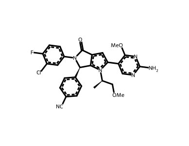 COC[C@@H](C)n1c(-c2cnc(N)nc2OC)cc2c1[C@@H](c1ccc(C#N)cc1)N(c1ccc(F)c(Cl)c1)C2=O